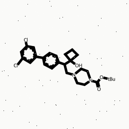 CC(C)(C)OC(=O)N1CCN(CC(c2ccc(-c3cc(Cl)cc(Cl)c3)cc2)C2(O)CCC2)CC1